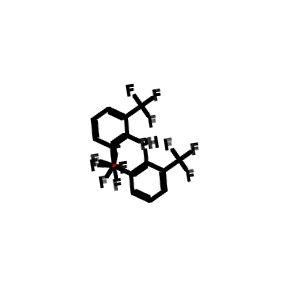 FC(F)(F)c1cccc(C(F)(F)F)c1Pc1c(C(F)(F)F)cccc1C(F)(F)F